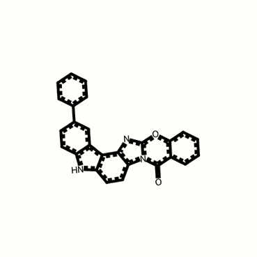 O=c1c2ccccc2oc2nc3c4c(ccc3n12)[nH]c1ccc(-c2ccccc2)cc14